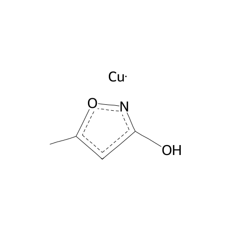 Cc1cc(O)no1.[Cu]